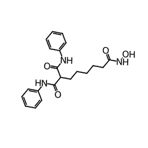 O=C(CCCCCC(C(=O)Nc1ccccc1)C(=O)Nc1ccccc1)NO